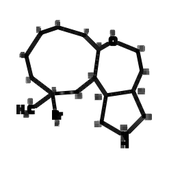 CC1(Br)CCCCCC2OCCC3CNCC3C2C1